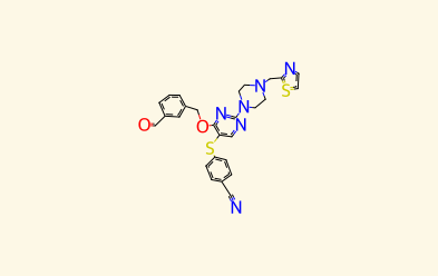 N#Cc1ccc(Sc2cnc(N3CCN(Cc4nccs4)CC3)nc2OCc2cccc(C=O)c2)cc1